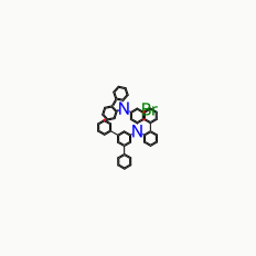 Brc1cc(N(c2cc(-c3ccccc3)cc(-c3ccccc3)c2)c2ccccc2-c2ccccc2)cc(-n2c3ccccc3c3ccccc32)c1